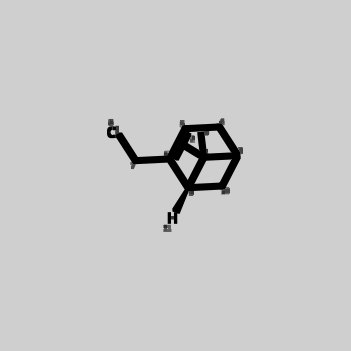 CC1(C)C2CC=C(CCl)[C@H]1C2